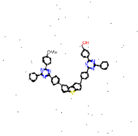 COc1ccc(-c2nc(-c3ccccc3)nc(-c3ccc(-c4ccc5sc6ccc(-c7ccc(-c8nc(-c9ccccc9)nc(-c9ccc(CO)cc9)n8)cc7)cc6c5c4)cc3)n2)cc1